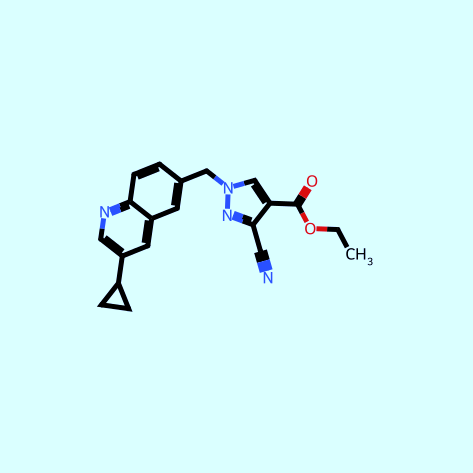 CCOC(=O)c1cn(Cc2ccc3ncc(C4CC4)cc3c2)nc1C#N